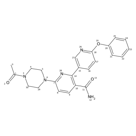 CC(=O)N1CCN(c2ccc(C(N)=O)c(-c3ccc(Oc4ccccc4)nc3)n2)CC1